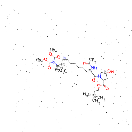 CCOC(=O)[C@@]1(N(C(=O)OC(C)(C)C)C(=O)OC(C)(C)C)C[C@H]1/C=C\CCCCC[C@H](NC(=O)C(F)(F)F)C(=O)N1C[C@H](O)CC1C(=O)OCC[Si](C)(C)C